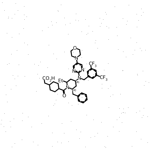 CCC1C[C@@H](N(Cc2cc(C(F)(F)F)cc(C(F)(F)F)c2)c2ncc(N3CCOCC3)cn2)C[C@@H](Cc2ccccc2)N1C(=O)C1CCC(CC(=O)O)CC1